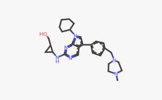 CN1CCN(Cc2ccc(-c3cn(C4CCCCC4)c4nc(NC5CC5CO)ncc34)cc2)CC1